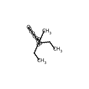 CCCCCCCC/C=C\CCCCCCCCOCC(OCCCCCCCC/C=C\CCCCCCCC)C(CCCCCCCCCCCC)OC(=O)COCCOCCOCCOCCOC=O